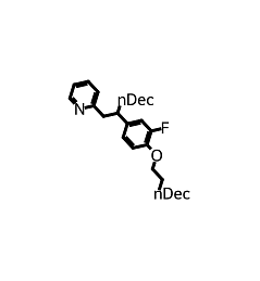 CCCCCCCCCCCCOc1ccc(C(CCCCCCCCCC)Cc2ccccn2)cc1F